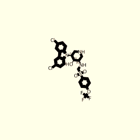 O=S(=O)(CN[C@@H]1CNC[C@H](n2c3ccc(Cl)cc3c3cc(Cl)ccc32)[C@H]1O)c1ccc(OC(F)(F)F)cc1